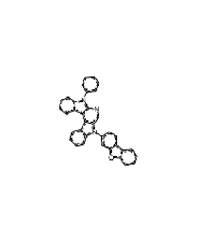 c1ccc(-n2c3ccccc3c3c4c5ccccc5n(-c5ccc6c(c5)oc5ccccc56)c4cnc32)cc1